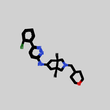 Clc1ccccc1-c1ccc(NC2C[C@@H]3CN(CC4CCOCC4)C[C@@H]3C2)nn1